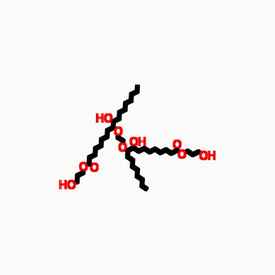 CCCCCCCCC(O)C(CCCCCCCC(=O)OCCCO)OCCOC(CCCCCCCC)C(O)CCCCCCCC(=O)OCCCO